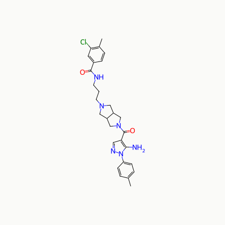 Cc1ccc(-n2ncc(C(=O)N3CC4CN(CCCNC(=O)c5ccc(C)c(Cl)c5)CC4C3)c2N)cc1